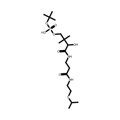 CC(C)SCCNC(=O)CCNC(=O)C(O)C(C)(C)COP(=O)(O)OC(C)(C)C